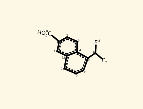 O=C(O)c1ccc2c([C](F)F)cccc2c1